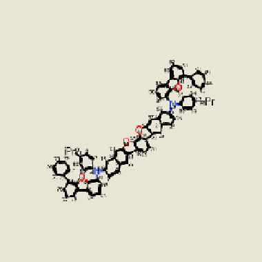 CC(C)c1ccc(N(c2ccc3cc4c(cc3c2)oc2c4ccc3c4cc5ccc(N(c6ccc(C(C)C)cc6)c6cccc7c6oc6c(-c8ccccc8)cccc67)cc5cc4oc32)c2cccc3c2oc2c(-c4ccccc4)cccc23)cc1